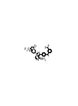 C[C@@H](c1ccc(-c2nc([C@@H]3CC[C@H]4C(C(F)(F)F)CC(=O)N4C3)n3ccnc(N)c23)cc1)c1cccc(C(F)F)c1